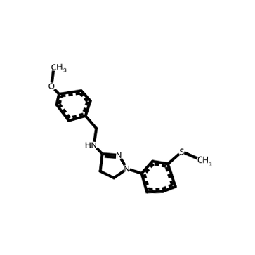 COc1ccc(CNC2=NN(c3cccc(SC)c3)CC2)cc1